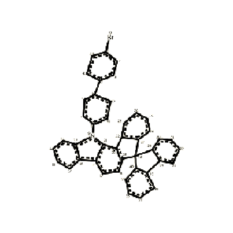 Brc1ccc(-c2ccc(-n3c4ccccc4c4ccc5c(c43)-c3ccccc3C53c4ccccc4-c4ccccc43)cc2)cc1